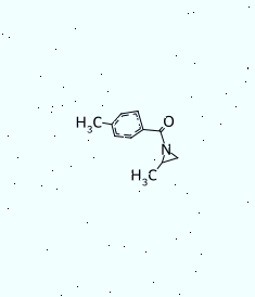 Cc1ccc(C(=O)N2CC2C)cc1